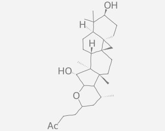 CC(=O)CCC1C[C@@H](C)C2C(O1)[C@H](O)[C@@]1(C)[C@@H]3CC[C@H]4C(C)(C)[C@@H](O)CC[C@@]45C[C@@]35CC[C@]21C